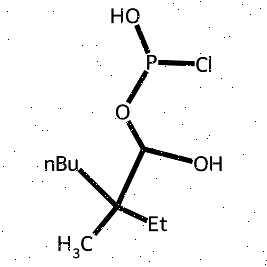 CCCCC(C)(CC)C(O)OP(O)Cl